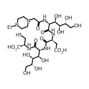 CCN1CCN(CC(=O)N[C@H](C(=O)N[C@@H](CC(=O)O)C(=O)N[C@H](C(=O)N[C@H](CS)C(=O)O)[C@@H](O)[C@H](O)[C@H](O)CO)[C@@H](O)[C@H](O)[C@H](O)CO)CC1